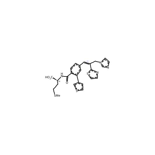 CSCC[C@H](NC(=O)c1ccc(/C=C(/Cn2ccnc2)c2nccs2)cc1-c1ccsc1)C(=O)O